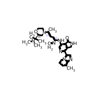 C=N/C(=C\C=C(/C)N1CCO[C@H](C(C)(C)N(C)C)C1)Nc1cnc(-c2cnc3c(C)cccn23)c2c1C(=O)NC2